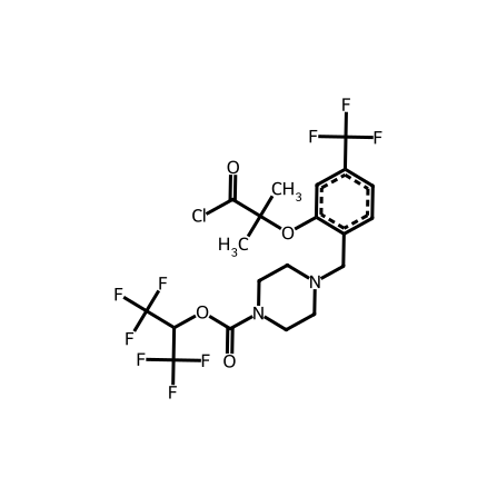 CC(C)(Oc1cc(C(F)(F)F)ccc1CN1CCN(C(=O)OC(C(F)(F)F)C(F)(F)F)CC1)C(=O)Cl